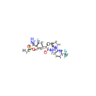 CC(C(=O)NCc1ccc(C(F)(F)F)nc1N1CCCC1)c1ccc(C(N)S(C)(=O)=O)c(F)c1